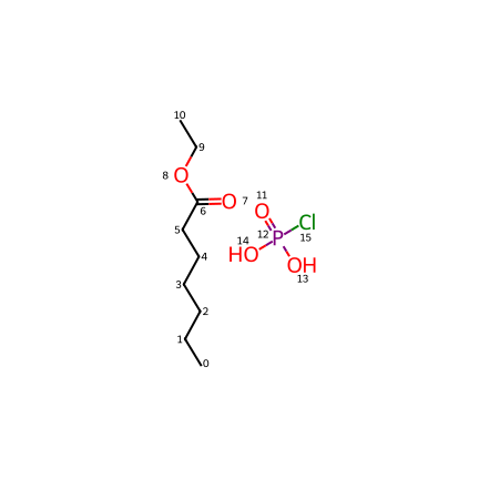 CCCCCCC(=O)OCC.O=P(O)(O)Cl